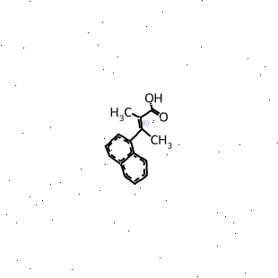 C/C(C(=O)O)=C(/C)c1cccc2ccccc12